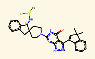 CC1(C)C=C(c2n[nH]c3nc(N4CCC5(CC4)Cc4ccccc4[C@H]5N[S+]([O-])C(C)(C)C)[nH]c(=O)c23)c2ccccc21